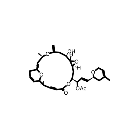 C=C1C[C@H](C)C[C@@H]2CC=C[C@@H](C/C=C\C(=O)O[C@H](C(/C=C/[C@@H]3CC(C)=CCO3)OC(C)=O)C[C@@H]3O[C@H]3[C@@H](O)C1)O2